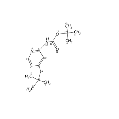 CC(C)(C)Cc1ccnc(NC(=O)OC(C)(C)C)c1